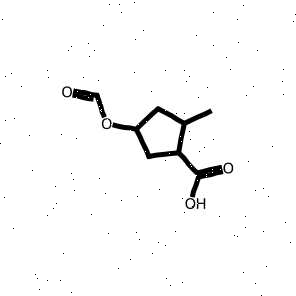 CC1CC(OC=O)CC1C(=O)O